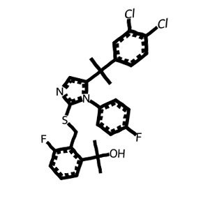 CC(C)(O)c1cccc(F)c1CSc1ncc(C(C)(C)c2ccc(Cl)c(Cl)c2)n1-c1ccc(F)cc1